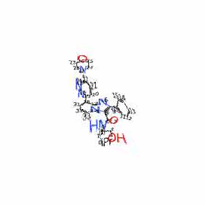 CC(C)C[C@@H](CO)NC(=O)c1c(-c2ccccc2)nc2c(-c3ccc(N4CCOCC4)nn3)cccn12